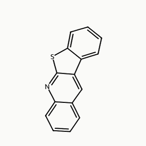 c1ccc2nc3sc4ccccc4c3cc2c1